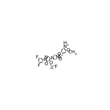 COc1cc(CS(=O)(=O)N2CCN(c3cnn(-c4cc(F)cc(F)c4)c(=O)c3OCC3(CF)CC3)CC2)ccc1N